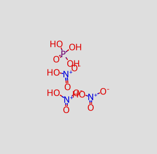 O=P(O)(O)O.O=[N+]([O-])O.O=[N+]([O-])O.O=[N+]([O-])O